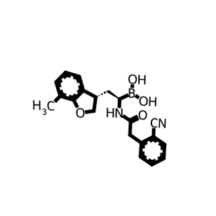 Cc1cccc2c1OC[C@H]2C[C@H](NC(=O)Cc1ccccc1C#N)B(O)O